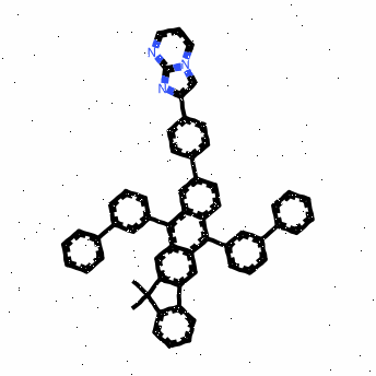 CC1(C)c2ccccc2-c2cc3c(-c4cccc(-c5ccccc5)c4)c4ccc(-c5ccc(-c6cn7cccnc7n6)cc5)cc4c(-c4cccc(-c5ccccc5)c4)c3cc21